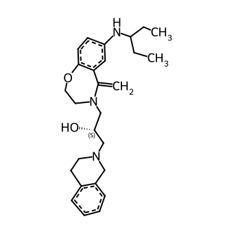 C=C1c2cc(NC(CC)CC)ccc2OCCN1C[C@@H](O)CN1CCc2ccccc2C1